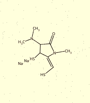 CN1C(=O)C(N(C)C)C(S)C1=CS.[Na].[Na]